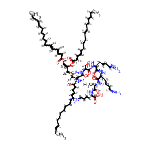 CCCCCCCCCCCCCCCC(=O)N[C@@H](CSC[C@@H](COC(=O)CCCCCCCCCCCCCCC)OC(=O)CCCCCCCCCCCCCCC)C(=O)N[C@@H](CO)C(=O)N[C@@H](CCCCN)C(=O)N[C@@H](CCCCN)C(=O)N[C@@H](C)C(=O)N[C@@H](CCCCN)C(=O)O